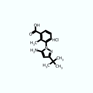 Cc1c(C(=O)O)cccc1-n1nc(C(C)(C)C)cc1N.Cl